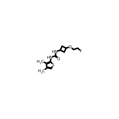 Cc1csc(NC(=O)NC2CC(OCCF)C2)c1C